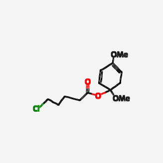 COC1=CCC(OC)(OC(=O)CCCCCl)C=C1